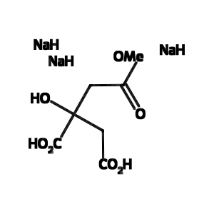 COC(=O)CC(O)(CC(=O)O)C(=O)O.[NaH].[NaH].[NaH]